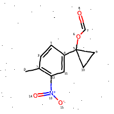 Cc1ccc(C2(OC=O)CC2)cc1[N+](=O)[O-]